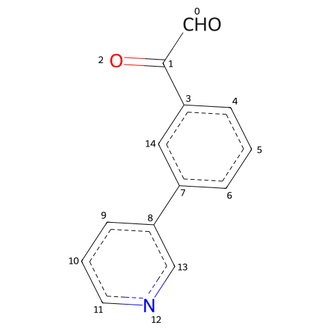 O=CC(=O)c1cccc(-c2cccnc2)c1